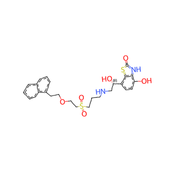 O=c1[nH]c2c(O)ccc([C@@H](O)CNCCCS(=O)(=O)CCOCCc3cccc4ccccc34)c2s1